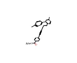 COC(=O)c1ccc(C#C/C=C/c2ccc(C)cc2-c2ccc(C)cc2)cc1